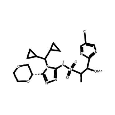 COC(c1ncc(Cl)cn1)C(C)S(=O)(=O)Nc1nnc([C@H]2COCCO2)n1C(C1CC1)C1CC1